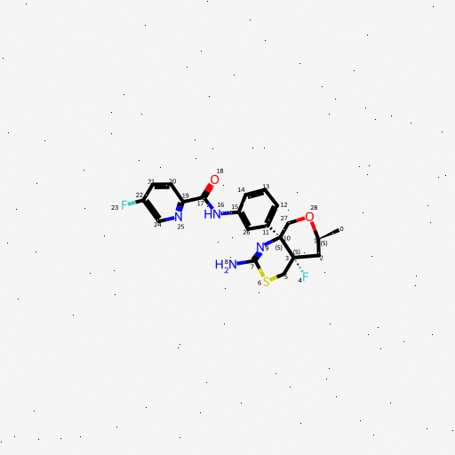 C[C@H]1C[C@@]2(F)CSC(N)=N[C@@]2(c2cccc(NC(=O)c3ccc(F)cn3)c2)CO1